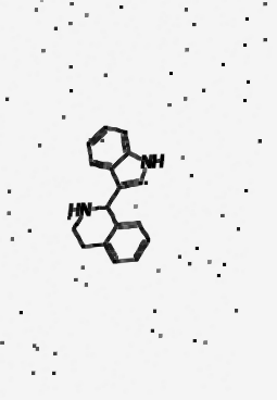 [c]1[nH]c2ccccc2c1C1NCCc2ccccc21